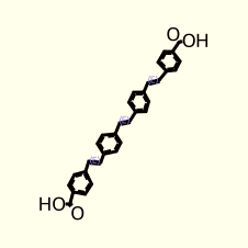 O=C(O)c1ccc(/C=C/c2ccc(/C=C/c3ccc(/C=C/c4ccc(C(=O)O)cc4)cc3)cc2)cc1